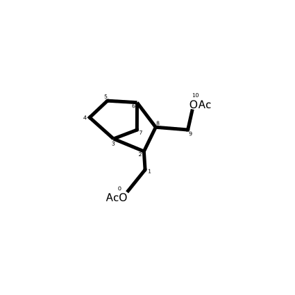 CC(=O)OCC1C2CCC(C2)C1COC(C)=O